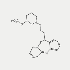 O=C(O)OC1CCCN(CCCC2SC3=CC=CCC3=Nc3ccccc32)C1